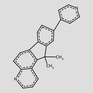 CC1(C)c2cc(-c3ccncc3)ccc2-c2ccc3ncccc3c21